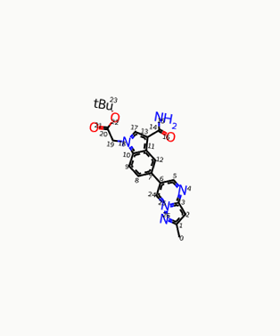 Cc1cc2ncc(-c3ccc4c(c3)c(C(N)=O)cn4CC(=O)OC(C)(C)C)cn2n1